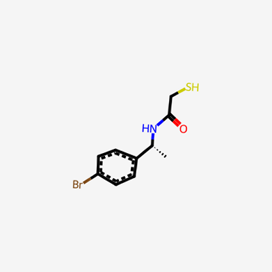 C[C@@H](NC(=O)CS)c1ccc(Br)cc1